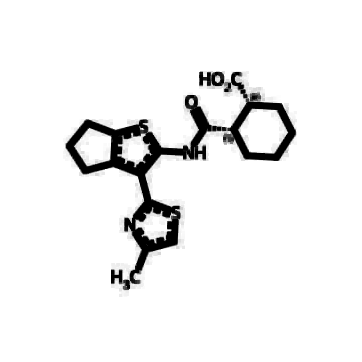 Cc1csc(-c2c(NC(=O)[C@H]3CCCC[C@H]3C(=O)O)sc3c2CCC3)n1